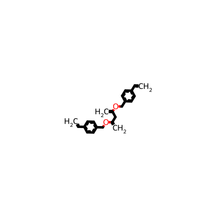 C=Cc1ccc(COC(=C)CC(=C)OCc2ccc(C=C)cc2)cc1